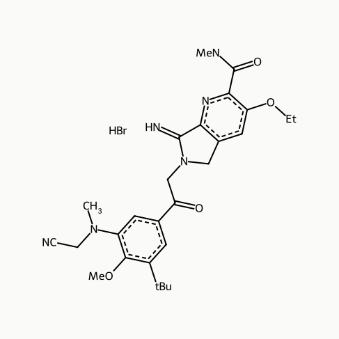 Br.CCOc1cc2c(nc1C(=O)NC)C(=N)N(CC(=O)c1cc(N(C)CC#N)c(OC)c(C(C)(C)C)c1)C2